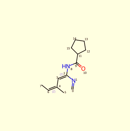 C=N/C(=C\C(C)=C/C)NC(=O)C1CCCC1